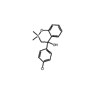 CS1(C)CC(O)(c2ccc(Cl)cc2)c2ccccc2O1